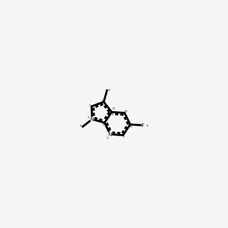 Cc1cn(C)c2ncc(F)cc12